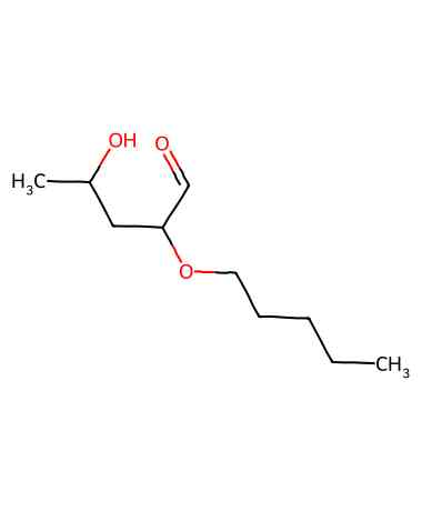 CCCCCOC(C=O)CC(C)O